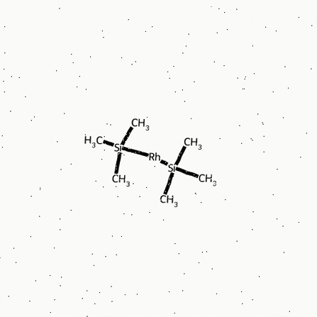 C[Si](C)(C)[Rh][Si](C)(C)C